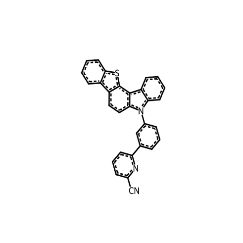 N#Cc1cccc(-c2cccc(-n3c4ccccc4c4c5sc6ccccc6c5ccc43)c2)n1